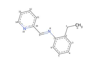 CCc1ccccc1N=Cc1ccccn1